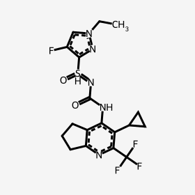 CCn1cc(F)c(/[SH](=O)=N/C(=O)Nc2c3c(nc(C(F)(F)F)c2C2CC2)CCC3)n1